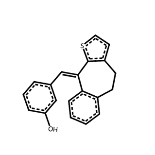 Oc1cccc(/C=C2\c3ccccc3CCc3ccsc32)c1